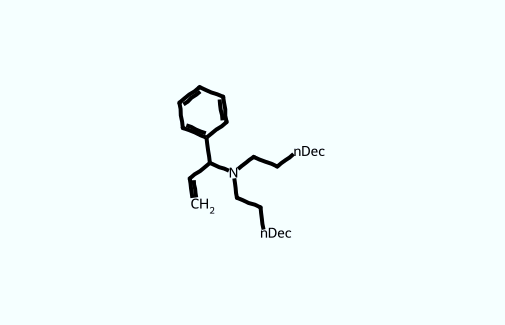 C=CC(c1ccccc1)N(CCCCCCCCCCCC)CCCCCCCCCCCC